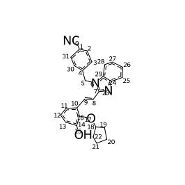 N#Cc1ccc(Cn2c(/C=C/c3cccc(O)c3OC3CCCC3)nc3ccccc32)cc1